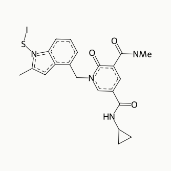 CNC(=O)c1cc(C(=O)NC2CC2)cn(Cc2cccc3c2cc(C)n3SI)c1=O